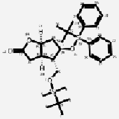 CC(C)(C)[Si](C)(C)OC[C@@H]1[C@H]2CC(=O)O[C@H]2C[C@H]1O[Si](c1ccccc1)(c1ccccc1)C(C)(C)C